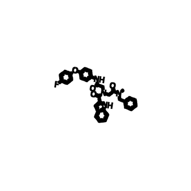 CN(Cc1ccccc1)C(=O)CN(CC(=O)Nc1ccc(Oc2ccc(F)cc2)cc1)C(=O)c1cc2ccccc2[nH]1